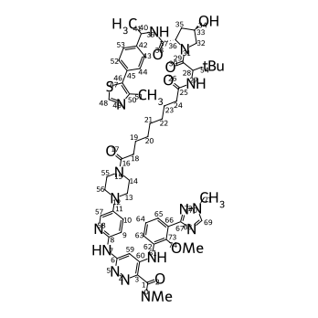 CNC(=O)c1nnc(Nc2ccc(N3CCN(C(=O)CCCCCCCC(=O)NC(C(=O)N4C[C@H](O)C[C@H]4C(=O)NC(C)c4ccc(-c5scnc5C)cc4)C(C)(C)C)CC3)cn2)cc1Nc1cccc(-c2ncn(C)n2)c1OC